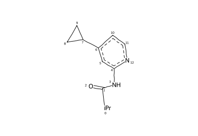 CC(C)C(=O)Nc1cc(C2CC2)ccn1